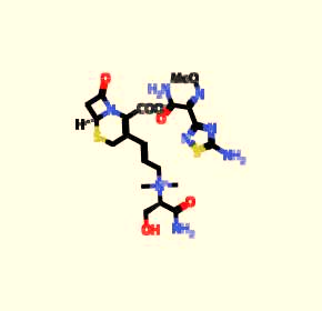 CO/N=C(\C(N)=O)c1nsc(N)n1.C[N+](C)(C/C=C/C1=C(C(=O)[O-])N2C(=O)C[C@@H]2SC1)[C@H](CO)C(N)=O